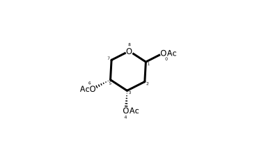 CC(=O)OC1C[C@H](OC(C)=O)[C@H](OC(C)=O)CO1